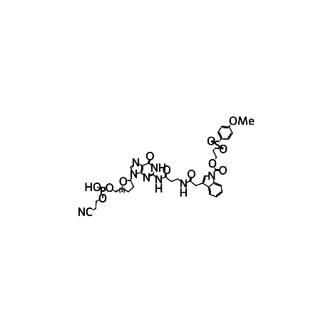 COc1ccc(S(=O)(=O)CCOC(=O)n2cc(CC(=O)NCCC(=O)Nc3nc4c(ncn4C4CC[C@@H](COP(O)OCCC#N)O4)c(=O)[nH]3)c3ccccc32)cc1